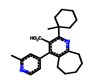 Cc1cc(-c2c3c(nc(C4(C)CCCCC4)c2C(=O)O)CCCCC3)ccn1